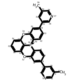 Cc1cncc(-c2ccc3c(c2)Oc2cccc4c2P3(=O)c2ccc(-c3cncc(C)c3)cc2O4)c1